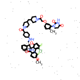 COc1ccc(C(N)=O)c(-c2c(Cl)c(F)cc3c2[C@H](C)[C@@](CNC2CCC(C(=O)N4CCC(CC5CCN(C(=O)COc6ccc(C)c(N7CCC(=O)NC7=O)c6)CC5)CC4)CC2)(c2ccccc2)O3)c1F